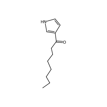 CCCCCCCC(=O)c1cc[nH]c1